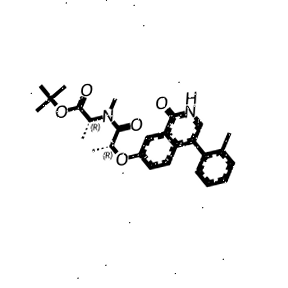 Cc1ccccc1-c1c[nH]c(=O)c2cc(O[C@H](C)C(=O)N(C)[C@H](C)C(=O)OC(C)(C)C)ccc12